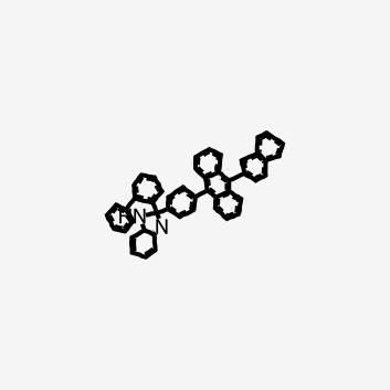 C1=CC2=NC(c3ccc(-c4c5ccccc5c(-c5ccc6ccccc6c5)c5ccccc45)cc3)(c3ccccc3-c3ccccc3)NC2C=C1